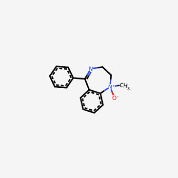 C[N+]1([O-])CCN=C(c2ccccc2)c2ccccc21